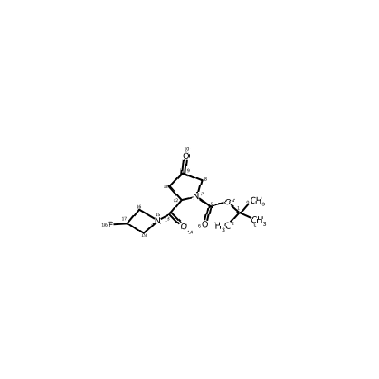 CC(C)(C)OC(=O)N1CC(=O)CC1C(=O)N1CC(F)C1